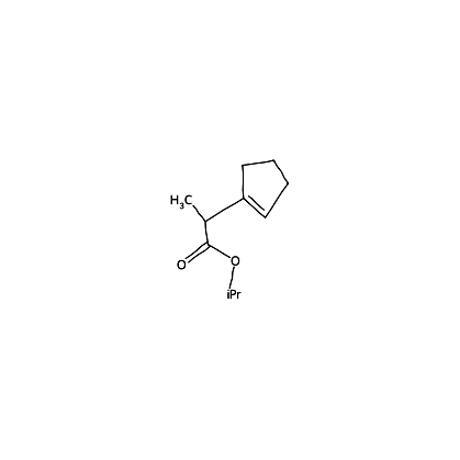 CC(C)OC(=O)C(C)C1=CCCC1